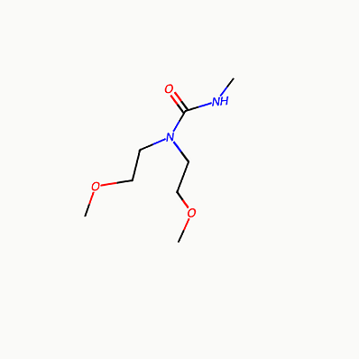 CNC(=O)N(CCOC)CCOC